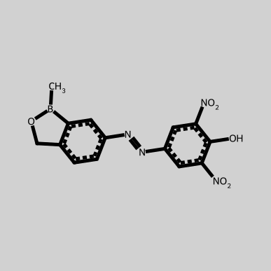 CB1OCc2ccc(/N=N/c3cc([N+](=O)[O-])c(O)c([N+](=O)[O-])c3)cc21